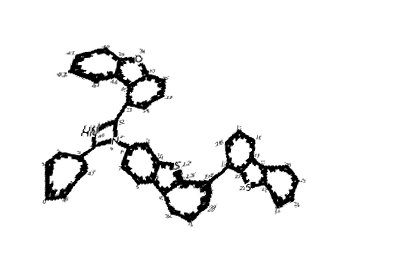 c1ccc(C2=[N+](c3ccc4c(c3)sc3c(-c5cccc6c5sc5ccccc56)cccc34)C(c3cccc4oc5ccccc5c34)N2)cc1